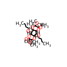 CCCCO[C@@H]1[C@H]2OC(C)(OC)C(C)(OC)O[C@@H]2[C@H](OCCCC)[C@@H]2OC(C)(OC)C(C)(OC)O[C@@H]12